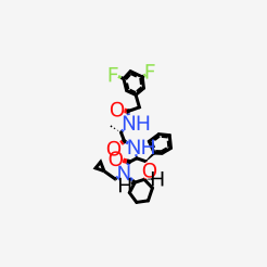 C[C@H](NC(=O)Cc1cc(F)cc(F)c1)C(=O)N[C@@H]1C(=O)N(CC2CC2)[C@H]2CCCC[C@@H]2O[C@@H]1c1ccccc1